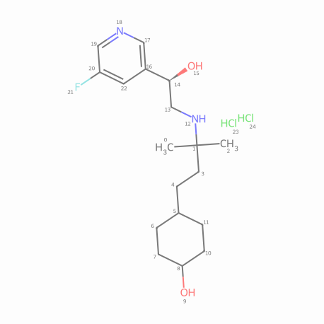 CC(C)(CCC1CCC(O)CC1)NC[C@H](O)c1cncc(F)c1.Cl.Cl